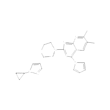 Cc1cc2c(-n3cccc3)nc(N3C[C@@H](C)O[C@@H](c4cnn(C5CC5)c4)C3)nc2nc1C